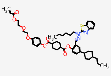 C=CC(=O)OCCOCCOc1ccc(OC(=O)C2CCC(C(=O)Oc3ccc(C4CCC(CCC)CC4)cc3/C=N/N(CCCCCC)c3nc4ccccc4s3)CC2)cc1